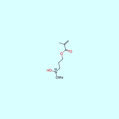 C=C(C)C(=O)OCCC[SiH](O)OC